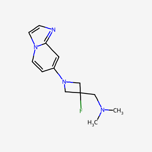 CN(C)CC1(F)CN(c2ccn3ccnc3c2)C1